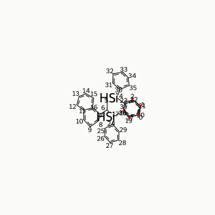 c1ccc([SiH](CC(c2cccc3ccccc23)[SiH](c2ccccc2)c2ccccc2)c2ccccc2)cc1